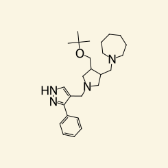 CC(C)(C)OCC1CN(Cc2c[nH]nc2-c2ccccc2)CC1CN1CCCCCC1